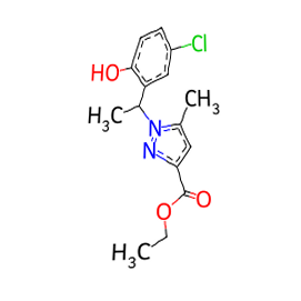 CCOC(=O)c1cc(C)n(C(C)c2cc(Cl)ccc2O)n1